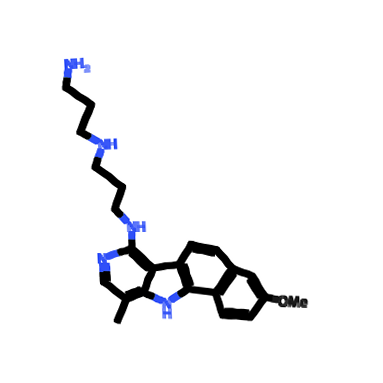 COc1ccc2c(ccc3c2[nH]c2c(C)cnc(NCCCNCCCN)c23)c1